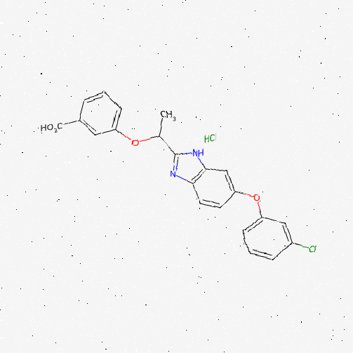 CC(Oc1cccc(C(=O)O)c1)c1nc2ccc(Oc3cccc(Cl)c3)cc2[nH]1.Cl